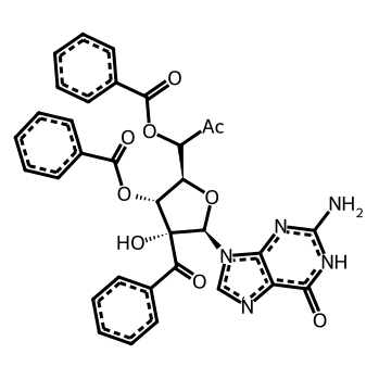 CC(=O)C(OC(=O)c1ccccc1)[C@H]1O[C@@H](n2cnc3c(=O)[nH]c(N)nc32)[C@@](O)(C(=O)c2ccccc2)[C@@H]1OC(=O)c1ccccc1